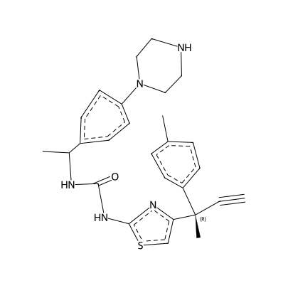 C#C[C@@](C)(c1ccc(C)cc1)c1csc(NC(=O)NC(C)c2ccc(N3CCNCC3)cc2)n1